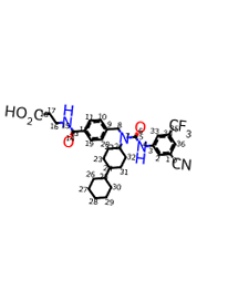 N#Cc1cc(NC(=O)N(Cc2ccc(C(=O)NCCC(=O)O)cc2)C2CCC(C3CCCCC3)CC2)cc(C(F)(F)F)c1